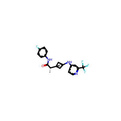 C[C@H](C(=O)Nc1ccc(F)cc1)C12CC(Nc3ccnc(C(F)(F)F)c3)(C1)C2